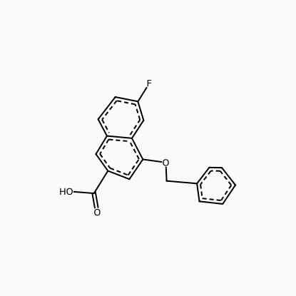 O=C(O)c1cc(OCc2ccccc2)c2cc(F)ccc2c1